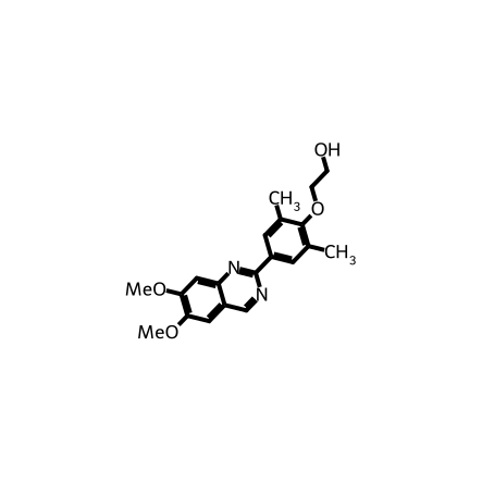 COc1cc2cnc(-c3cc(C)c(OCCO)c(C)c3)nc2cc1OC